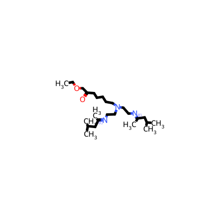 CCOCC(=O)CCCCCN(CC/N=C(\C)CC(C)C)CC/N=C(\C)CC(C)C